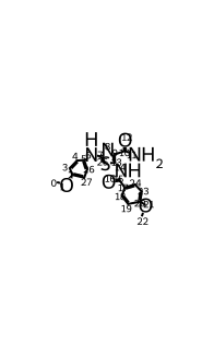 COc1ccc(Nc2nc(C(N)=O)c(NC(=O)c3ccc(OC)cc3)s2)cc1